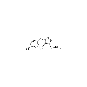 Cc1c(CN)nnn1Cc1ccc(Cl)cc1